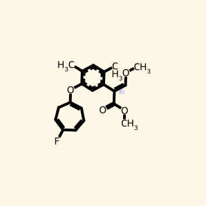 CO/C=C(/C(=O)OC)c1cc(OC2=CC=CC(F)=CC2)c(C)cc1C